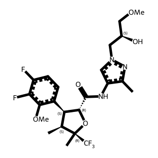 COC[C@@H](O)Cn1cc(NC(=O)[C@@H]2O[C@@](C)(C(F)(F)F)[C@@H](C)[C@H]2c2ccc(F)c(F)c2OC)c(C)n1